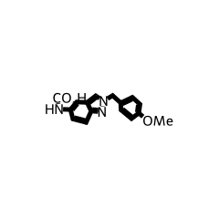 COc1ccc(Cn2cc3cc(NC(=O)O)ccc3n2)cc1